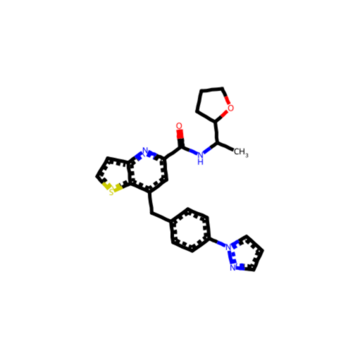 CC(NC(=O)c1cc(Cc2ccc(-n3cccn3)cc2)c2sccc2n1)C1CCCO1